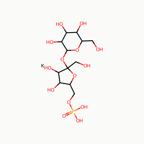 O=P(O)(O)OCC1OC(CO)(OC2OC(CO)C(O)C(O)C2O)C(O)C1O.[K]